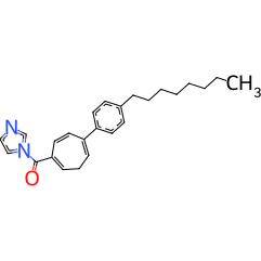 CCCCCCCCc1ccc(C2=CCC=C(C(=O)n3ccnc3)C=C2)cc1